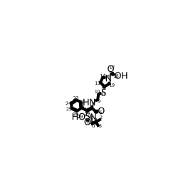 CC(C)(C)N1C(=O)C(NCCSC2CCN(C(=O)O)C2)=C(c2ccccc2)S1(O)O